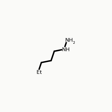 [CH2]CCCCNN